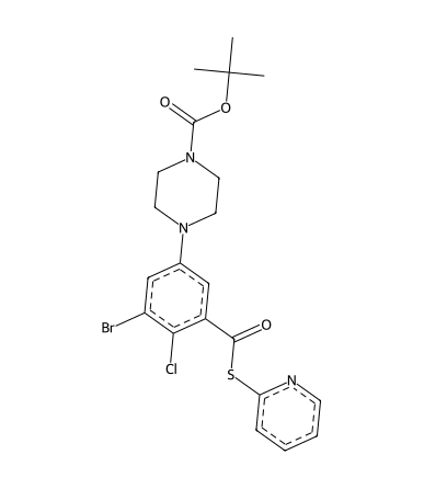 CC(C)(C)OC(=O)N1CCN(c2cc(Br)c(Cl)c(C(=O)Sc3ccccn3)c2)CC1